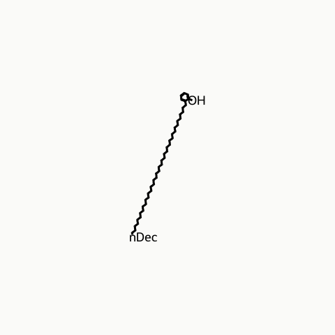 CCCCCCCCCCCCCCCCCCCCCCCCCCCCCCCCCCCCCCCCCCCCCCCCCCc1ccccc1O